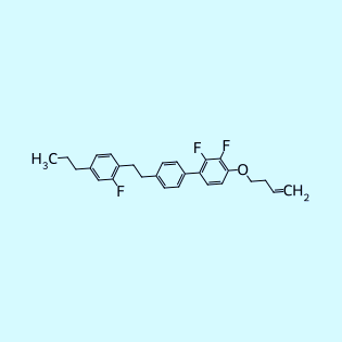 C=CCCOc1ccc(-c2ccc(CCc3ccc(CCC)cc3F)cc2)c(F)c1F